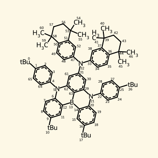 CC(C)(C)c1ccc(N2c3ccc(C(C)(C)C)cc3B3c4cc(C(C)(C)C)ccc4N(c4ccc(C(C)(C)C)cc4)c4cc(N(c5ccc6c(c5)C(C)(C)CCC6(C)C)c5ccc6c(c5)C(C)(C)CCC6(C)C)cc2c43)cc1